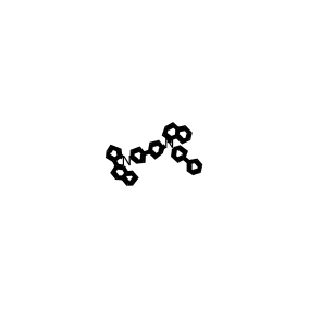 c1ccc(-c2ccc(N(c3ccc(-c4ccc(-n5c6ccccc6c6ccc7ccccc7c65)cc4)cc3)c3cccc4ccccc34)cc2)cc1